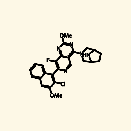 COc1nc(N2CC3CCC(C2)N3)c2cnc(-c3c(Cl)c(OC)cc4ccccc34)c(F)c2n1